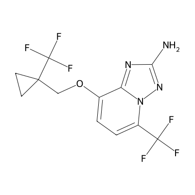 Nc1nc2c(OCC3(C(F)(F)F)CC3)ccc(C(F)(F)F)n2n1